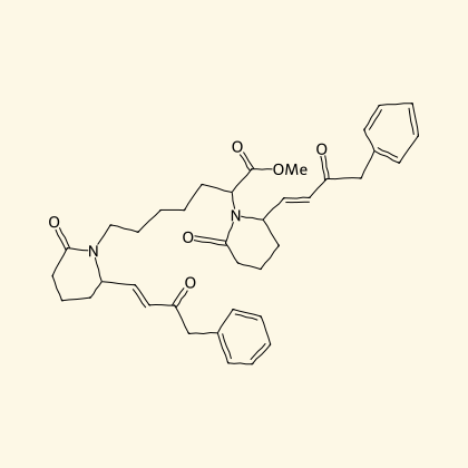 COC(=O)C(CCCCCN1C(=O)CCCC1C=CC(=O)Cc1ccccc1)N1C(=O)CCCC1C=CC(=O)Cc1ccccc1